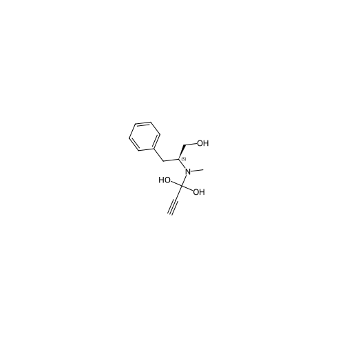 C#CC(O)(O)N(C)[C@H](CO)Cc1ccccc1